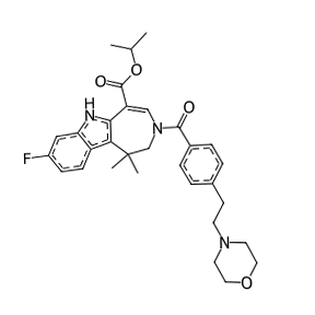 CC(C)OC(=O)C1=CN(C(=O)c2ccc(CCN3CCOCC3)cc2)CC(C)(C)c2c1[nH]c1cc(F)ccc21